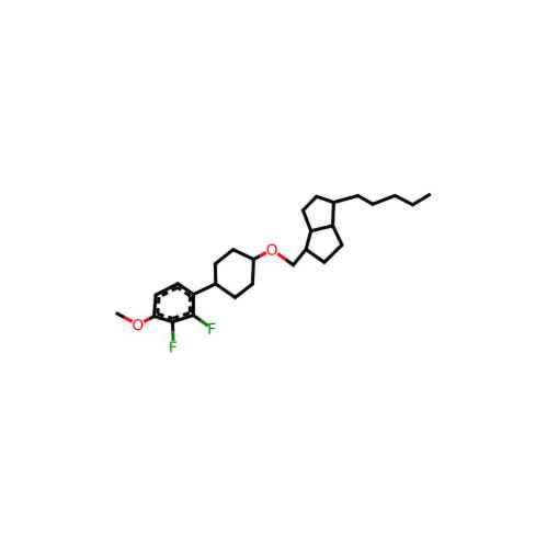 CCCCCC1CCC2C(COC3CCC(c4ccc(OC)c(F)c4F)CC3)CCC12